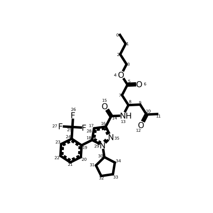 CCCCOC(=O)CC(CC(C)=O)NC(=O)c1cc(-c2ccccc2C(F)(F)F)n(C2CCCC2)n1